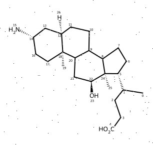 CC(CCC(=O)O)[C@H]1CCC2C3CC[C@@H]4C[C@@H](N)CC[C@]4(C)C3C[C@H](O)[C@@]21C